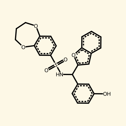 O=S(=O)(NC(c1cccc(O)c1)c1cc2ccccc2o1)c1ccc2c(c1)OCCCO2